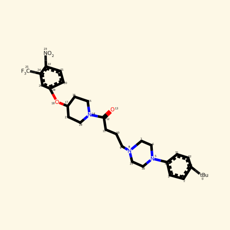 CC(C)(C)c1ccc(N2CCN(CCCC(=O)N3CCC(Oc4ccc([N+](=O)[O-])c(C(F)(F)F)c4)CC3)CC2)cc1